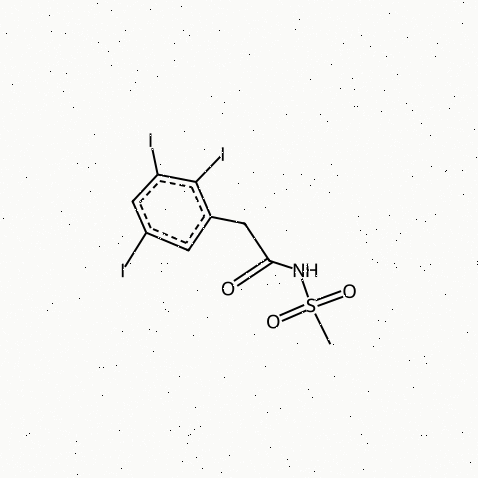 CS(=O)(=O)NC(=O)Cc1cc(I)cc(I)c1I